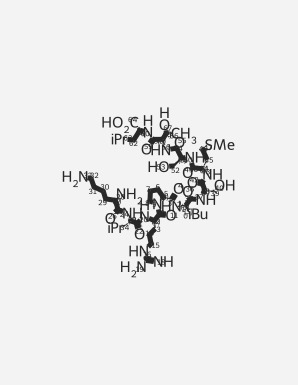 CC[C@H](C)[C@H](NC(=O)[C@H]1CCCN1C(=O)[C@H](CCCNC(=N)N)NC(=O)[C@@H](NC(=O)[C@@H](N)CCCCN)C(C)C)C(=O)N[C@@H](CO)C(=O)N[C@@H](CCSC)C(=O)N[C@@H](CO)C(=O)N[C@H](C(=O)N[C@@H](CC(C)C)C(=O)O)[C@@H](C)O